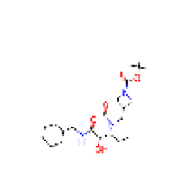 CCC(C(O)C(=O)NCC1CCCCC1)N(C=O)CC1CN(C(=O)OC(C)(C)C)C1